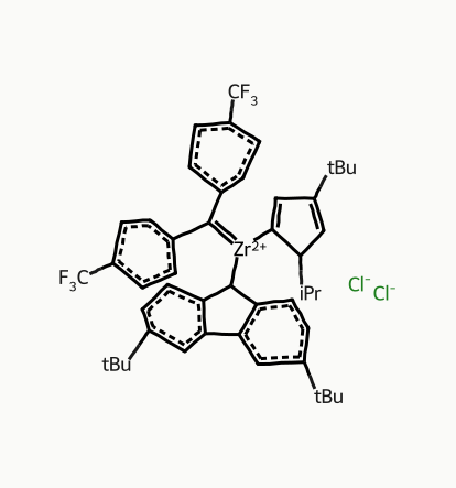 CC(C)C1C=C(C(C)(C)C)C=[C]1[Zr+2](=[C](c1ccc(C(F)(F)F)cc1)c1ccc(C(F)(F)F)cc1)[CH]1c2ccc(C(C)(C)C)cc2-c2cc(C(C)(C)C)ccc21.[Cl-].[Cl-]